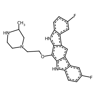 CC1CN(CCOc2c3[nH]c4ccc(F)cc4c3cc3c2[nH]c2ccc(F)cc23)CCN1